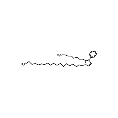 CCCCCCCCCCCCCCCCCCCN1C=CN(c2ccccc2)C1CCCCCCCC